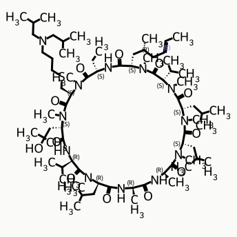 C/C=C/C[C@@H](C)C[C@H]1C(=O)N[C@@H](CC)C(=O)N(C)[C@H](CSCCCN(CC(C)C)CC(C)C)C(=O)N(C)[C@@H](CC(C)(C)O)C(=O)N[C@H](C(C)C)C(=O)N(C)[C@H](CC(C)C)C(=O)N[C@H](C)C(=O)N[C@H](C)C(=O)N(C)[C@@H](CC(C)C)C(=O)N(C)[C@@H](CC(C)C)C(=O)N(C)[C@@H](C(C)C)C(=O)N1C